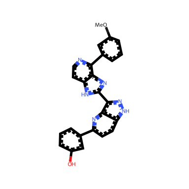 COc1cccc(-c2nccc3[nH]c(-c4n[nH]c5ccc(-c6cccc(O)c6)nc45)nc23)c1